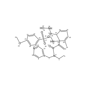 C=C(C(=O)N(CC)Cc1ccncc1)C1(NCS(=O)(=O)c2ccc(OC)cc2)C(C)=CC=CC1C(=O)NO